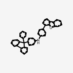 c1ccc(C2(c3ccc(Nc4ccc(-c5cccc6c5oc5ccccc56)cc4)cc3)c3ccccc3-c3ccccc32)cc1